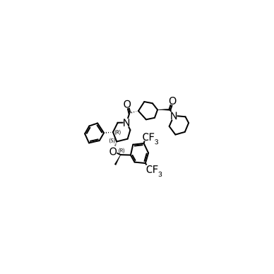 C[C@@H](O[C@H]1CCN(C(=O)[C@H]2CC[C@H](C(=O)N3CCCCC3)CC2)C[C@H]1c1ccccc1)c1cc(C(F)(F)F)cc(C(F)(F)F)c1